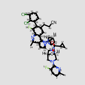 Cc1ccc(F)c(N2C[C@@H]3C[C@H](C2)N(C(=O)C2CC2)[C@H]3c2cc3c(C)nc4c(F)c(-c5cccc(Cl)c5Cl)c(CCC#N)cc4c3n2[C@H]2[C@H]3CN[C@@H]2C3)n1